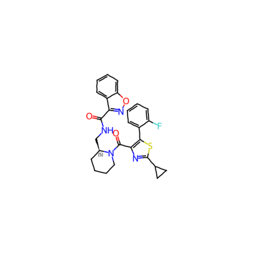 O=C(NC[C@@H]1CCCCN1C(=O)c1nc(C2CC2)sc1-c1ccccc1F)c1noc2ccccc12